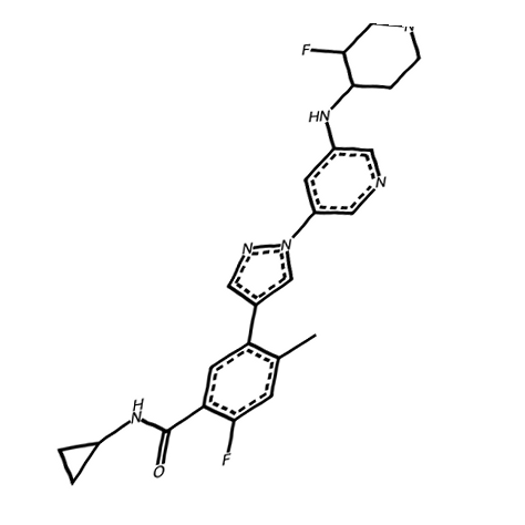 Cc1cc(F)c(C(=O)NC2CC2)cc1-c1cnn(-c2cncc(NC3CCN(C)CC3F)c2)c1